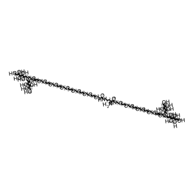 NC(CCCNC(=O)CCOCCOCCOCCOCCOCCOCCOCCOCCOCCOCCOCCOCCN(C[C@H](O)[C@@H](O)[C@H](O)[C@H](O)CO)C[C@H](O)[C@@H](O)[C@H](O)[C@H](O)CO)C(=O)NCCOCCOCCOCCOCCOCCOCCOCCOCCN(C[C@H](O)[C@@H](O)[C@H](O)[C@H](O)CO)C[C@H](O)[C@@H](O)[C@H](O)[C@H](O)CO